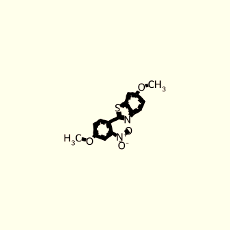 COc1ccc(-c2nc3ccc(OC)cc3s2)c([N+](=O)[O-])c1